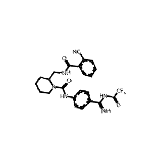 N#Cc1ccccc1C(=O)NCC1CCCCN1C(=O)Nc1ccc(C(=N)NC(=O)C(F)(F)F)cc1